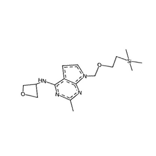 Cc1nc(NC2COC2)c2ccn(COCC[Si](C)(C)C)c2n1